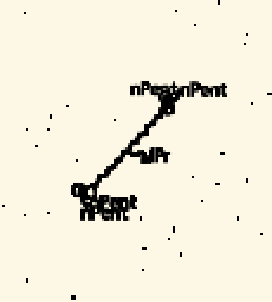 CCCCCC(CCCCC)CC(=O)OCCCCCCCCCC(CCCCCCCCCOC(=O)CC(CCCCC)CCCCC)CCN(C)C(C)C